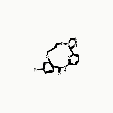 O=C1Nc2cccc(n2)-c2nncn2C/C=C/COc2cc(Br)ccc21